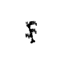 CC(C)(C)c1ccc(-n2c3ccccc3c3cc(/C=C/c4ccc5c(c4)C(C)(C)c4cc(-c6ccc7c(c6)C(C)(C)c6cc(/C=C/c8ccc9c(c8)c8ccccc8n9-c8ccccc8)ccc6-7)ccc4-5)ccc32)cc1